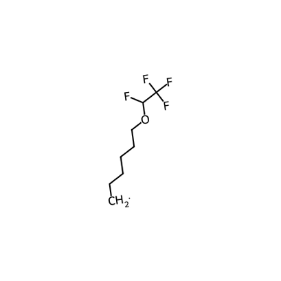 [CH2]CCCCCOC(F)C(F)(F)F